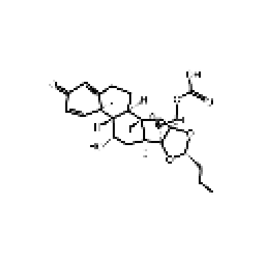 CCC[C@@H]1O[C@@H]2C[C@H]3[C@@H]4CCC5=CC(=O)C=C[C@]5(C)[C@H]4[C@@H](O)C[C@]3(C)[C@]2(C(=O)COC(=O)O)O1